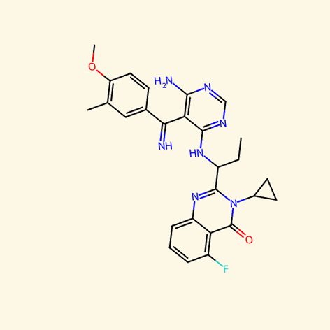 CCC(Nc1ncnc(N)c1C(=N)c1ccc(OC)c(C)c1)c1nc2cccc(F)c2c(=O)n1C1CC1